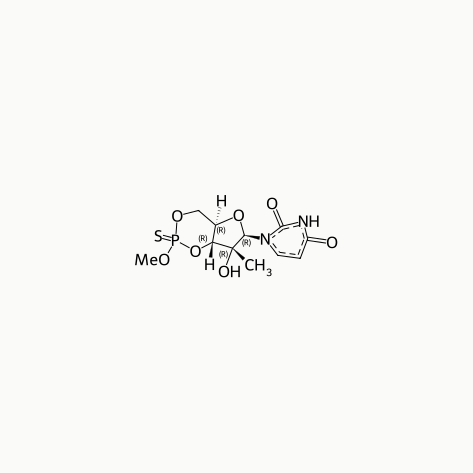 COP1(=S)OC[C@H]2O[C@@H](n3ccc(=O)[nH]c3=O)[C@](C)(O)[C@@H]2O1